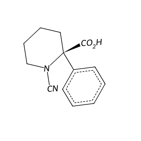 N#CN1CCCC[C@]1(C(=O)O)c1ccccc1